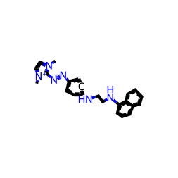 Cn1cc[n+](C)c1/N=N/c1ccc(NCCNc2cccc3ccccc23)cc1